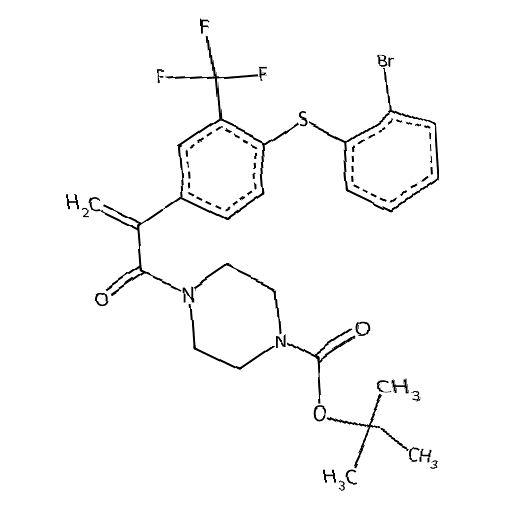 C=C(C(=O)N1CCN(C(=O)OC(C)(C)C)CC1)c1ccc(Sc2ccccc2Br)c(C(F)(F)F)c1